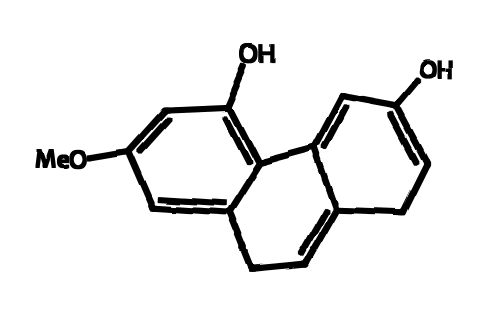 COc1cc(O)c2c(c1)CC=C1CC=C(O)C=C12